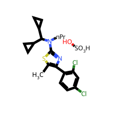 CCCN(c1nc(-c2ccc(Cl)cc2Cl)c(C)s1)C(C1CC1)C1CC1.O=S(=O)(O)O